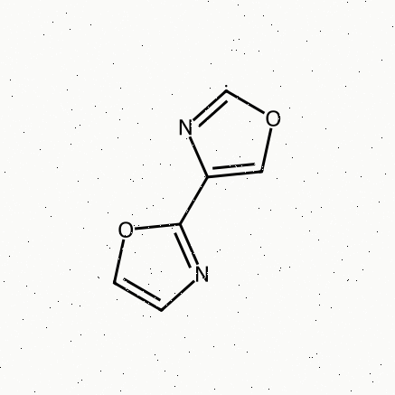 [c]1nc(-c2ncco2)co1